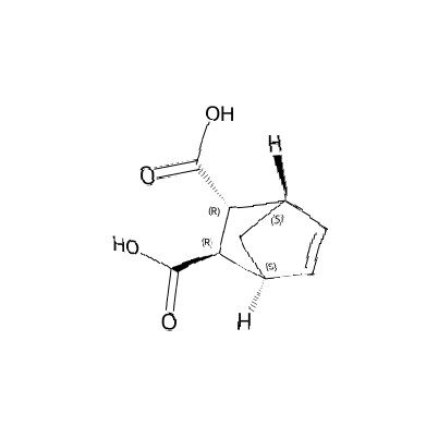 O=C(O)[C@H]1[C@H](C(=O)O)[C@@H]2C=C[C@@H]1C2